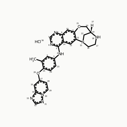 Cc1cc(Nc2ncnc3cc4c(cc23)N2CCN[C@@H](CO4)C2)ccc1Oc1ccn2ncnc2c1.Cl